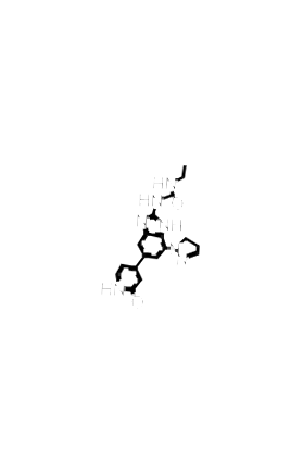 CCNC(=O)Nc1nc2cc(-c3cc[nH]c(=O)c3)cc(N3CCC=N3)c2[nH]1